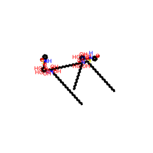 CCCCCCCCCCCCCCCCCCCCCCCCCCNC(CO[C@H]1O[C@H](COC(=S)Nc2ccccc2OC)[C@H](O)[C@H](O)[C@H]1O)C(O)C(O)CCCCCCCCCCCCCCC(O[C@H]1O[C@H](COC(=S)Nc2cccc(OC)c2)[C@H](O)[C@H](O)[C@H]1O)[C@@H](NCCCCCCCCCCCCCCCCCCCCCCCCCC)[C@H](O)[C@H](O)CCCCCCCCCCCCCC